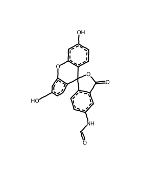 O=[C]Nc1ccc2c(c1)C(=O)OC21c2ccc(O)cc2Oc2cc(O)ccc21